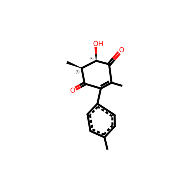 CC1=C(c2ccc(C)cc2)C(=O)[C@@H](C)[C@@H](O)C1=O